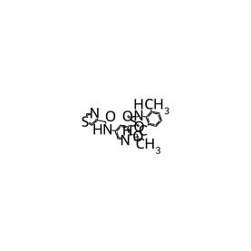 COc1ncc(NC(=O)c2cscn2)cc1S(=O)(=O)Nc1c(C)cccc1C